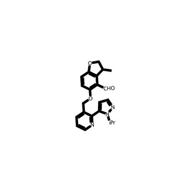 CC1COc2ccc(OCc3cccnc3-c3ccnn3C(C)C)c(C=O)c21